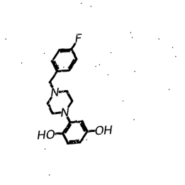 Oc1ccc(O)c(N2CCN(Cc3ccc(F)cc3)CC2)c1